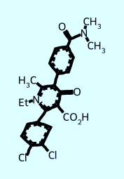 CCn1c(C)c(-c2ccc(C(=O)N(C)C)cc2)c(=O)c(C(=O)O)c1-c1ccc(Cl)c(Cl)c1